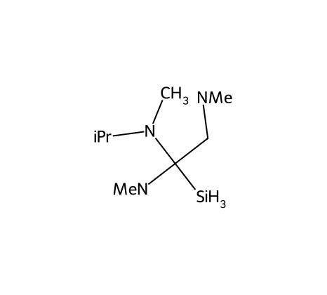 CNCC([SiH3])(NC)N(C)C(C)C